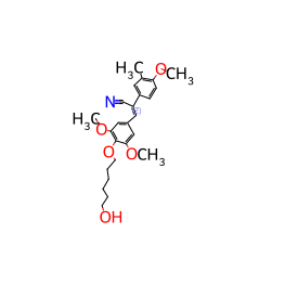 COc1ccc(/C(C#N)=C/c2cc(OC)c(OCCCCCCO)c(OC)c2)cc1C